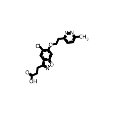 Cc1ccc(CCOc2cc3onc(CCC(=O)O)c3cc2Cl)nn1